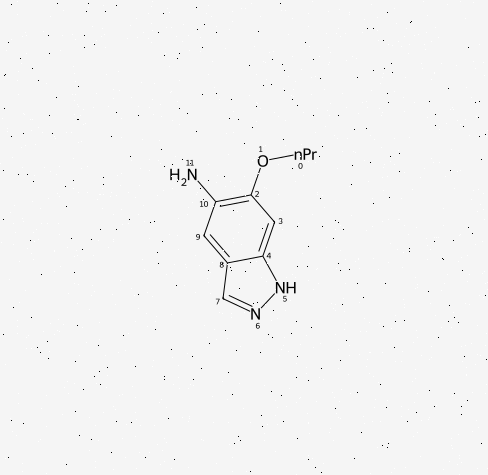 CCCOc1cc2[nH]ncc2cc1N